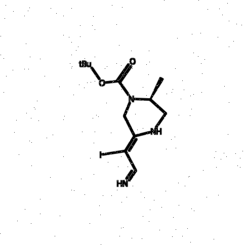 C[C@H]1CN/C(=C(/I)C=N)CN1C(=O)OC(C)(C)C